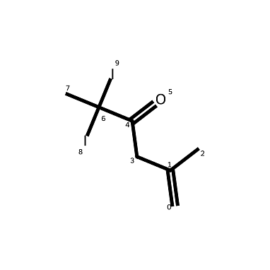 C=C(C)CC(=O)C(C)(I)I